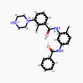 Cc1ccc(NC(=O)c2ccccc2)cc1NC(=O)c1cccc(N2CCNCC2)c1C